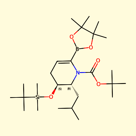 CC(C)C[C@@H]1[C@@H](O[Si](C)(C)C(C)(C)C)CC=C(B2OC(C)(C)C(C)(C)O2)N1C(=O)OC(C)(C)C